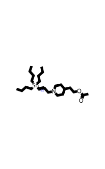 CCC[CH2][Sn](/[CH]=C/CN1CCC(CCOC(C)=O)CC1)([CH2]CCC)[CH2]CCC